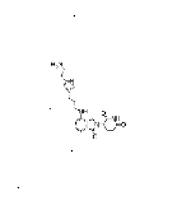 NCCc1cn(CCCNc2cccc3c2CN(C2CCC(=O)NC2=O)C3=O)cn1